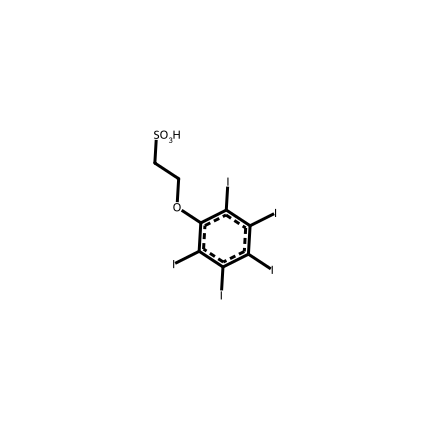 O=S(=O)(O)CCOc1c(I)c(I)c(I)c(I)c1I